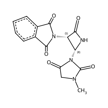 CN1CC(=O)N([C@H]2NC(=O)[C@H]2N2C(=O)c3ccccc3C2=O)C1=O